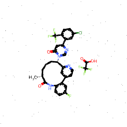 C[C@@H]1CCC[C@H](n2cnc(-c3cc(Cl)ccc3C(F)(F)F)cc2=O)c2cc(ccn2)-c2cc(F)ccc2NC1=O.O=C(O)C(F)(F)F